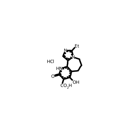 CCc1ncc2n1CCCc1c-2[nH]c(=O)c(C(=O)O)c1O.Cl